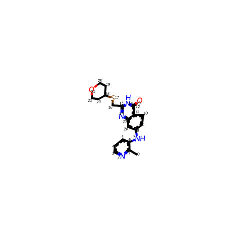 Cc1ncccc1Nc1ccc2c(=O)[nH]c(CSC3CCOCC3)nc2c1